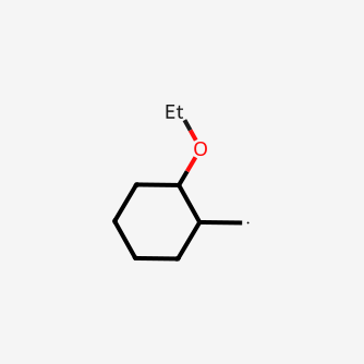 [CH2]C1CCCCC1OCC